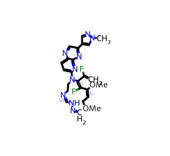 C=NN/C=N\CCN(/C(C(=C)F)=C(F)/C(=C\COC)OC)c1ccc2ncc(-c3cnn(C)c3)nc2n1